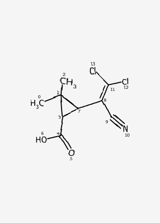 CC1(C)C(C(=O)O)C1C(C#N)=C(Cl)Cl